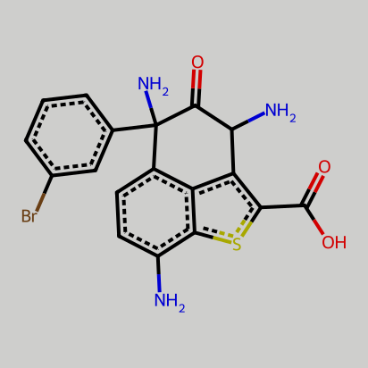 Nc1ccc2c3c(c(C(=O)O)sc13)C(N)C(=O)C2(N)c1cccc(Br)c1